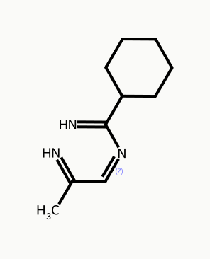 CC(=N)/C=N\C(=N)C1CCCCC1